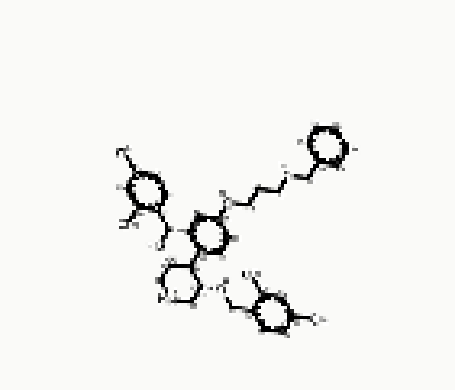 Clc1ccc(CO[C@H]2CNC[C@@H](OCc3ccc(Cl)cc3Cl)C2c2ccc(OCCCOCc3ccccc3)cc2)c(Cl)c1